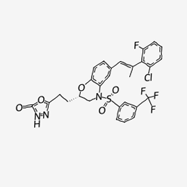 CC(=Cc1ccc2c(c1)N(S(=O)(=O)c1cccc(C(F)(F)F)c1)C[C@H](CCc1n[nH]c(=O)o1)O2)c1c(F)cccc1Cl